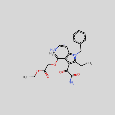 C=C(OCC(=O)OCC)c1c(C(=O)C(N)=O)c(CC)n(Cc2ccccc2)c1/C=C\N